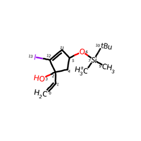 C=CC1(O)CC(O[Si](C)(C)C(C)(C)C)C=C1I